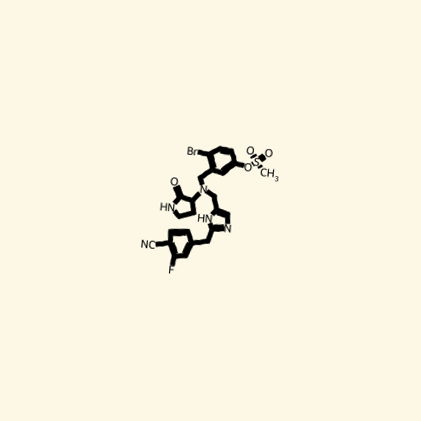 CS(=O)(=O)Oc1ccc(Br)c(CN(Cc2cnc(Cc3ccc(C#N)c(F)c3)[nH]2)C2CCNC2=O)c1